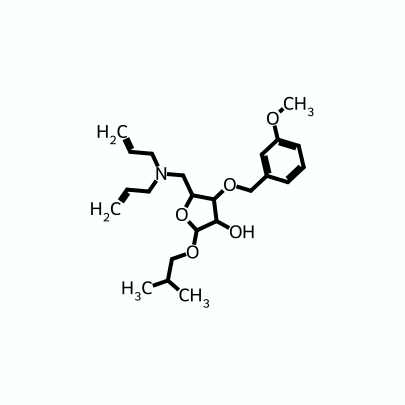 C=CCN(CC=C)CC1OC(OCC(C)C)C(O)C1OCc1cccc(OC)c1